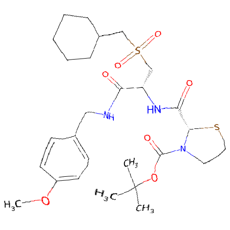 COc1ccc(CNC(=O)[C@H](CS(=O)(=O)CC2CCCCC2)NC(=O)[C@@H]2SCCN2C(=O)OC(C)(C)C)cc1